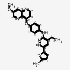 CCc1cc(-c2ccc(C)s2)nnc1Nc1ccc(Oc2ccnc3cc(OC)cnc23)cc1